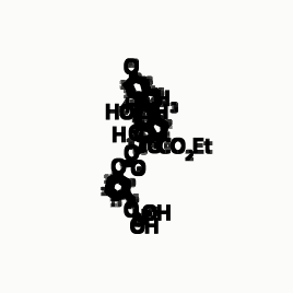 CCOC(=O)O[C@]1(C(=O)COC(=O)Oc2cccc(CON(O)O)c2)CC[C@H]2[C@@H]3CCC4=CC(=O)C=C[C@]4(C)[C@H]3[C@@H](O)C[C@@]21C